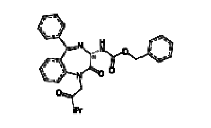 CC(C)C(=O)CN1C(=O)[C@@H](NC(=O)OCc2ccccc2)N=C(c2ccccc2)c2ccccc21